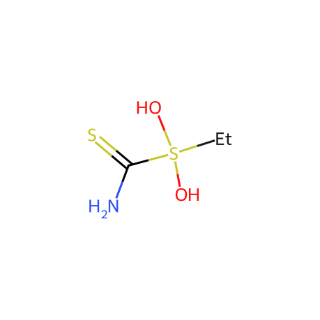 CCS(O)(O)C(N)=S